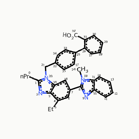 CCCc1nc2c(CC)cc(-c3nc4ccccc4n3C)cc2n1Cc1ccc(-c2ccccc2C(=O)O)cc1